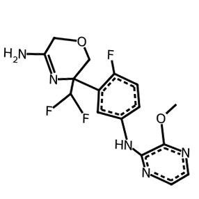 COc1nccnc1Nc1ccc(F)c(C2(C(F)F)COCC(N)=N2)c1